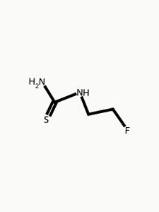 NC(=S)NCCF